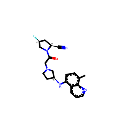 Cc1ccc(N[C@H]2CCN(CC(=O)N3C[C@@H](F)C[C@H]3C#N)C2)c2cccnc12